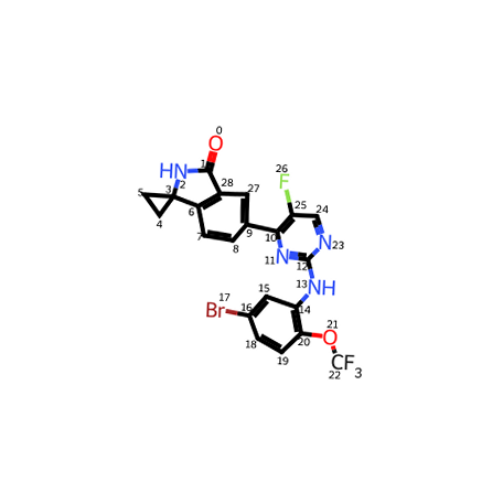 O=C1NC2(CC2)c2ccc(-c3nc(Nc4cc(Br)ccc4OC(F)(F)F)ncc3F)cc21